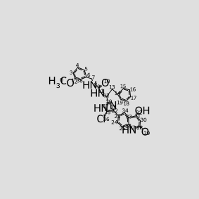 COc1cccc(CNC(=O)NC(Cc2ccccc2)c2nc(-c3ccc4[nH]c(=O)cc(O)c4c3)c(Cl)[nH]2)c1